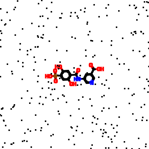 O=C(O)c1cncc(NC(=O)c2cc(O)c(S(=O)(=O)O)cc2O)c1